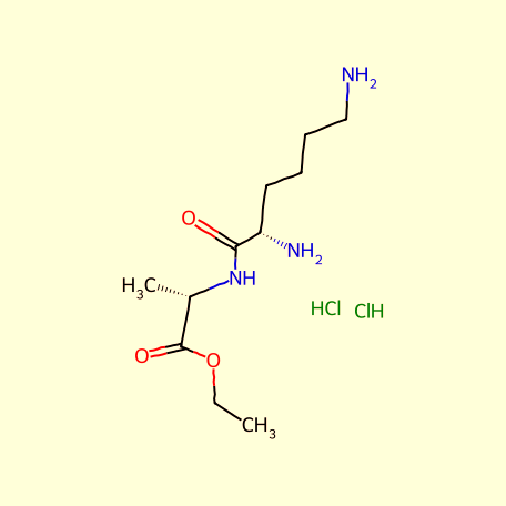 CCOC(=O)[C@H](C)NC(=O)[C@@H](N)CCCCN.Cl.Cl